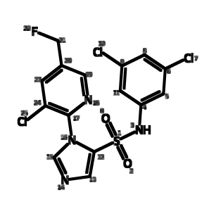 O=S(=O)(Nc1cc(Cl)cc(Cl)c1)c1cncn1-c1ncc(CF)cc1Cl